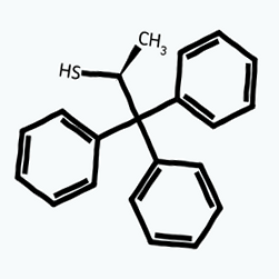 C[C@H](S)C(c1ccccc1)(c1ccccc1)c1ccccc1